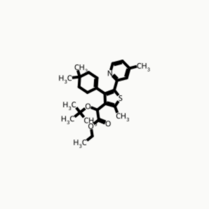 CCOC(=O)C(OC(C)(C)C)c1c(C)sc(-c2cc(C)ccn2)c1C1=CCC(C)(C)CC1